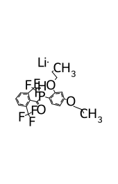 CCCOc1ccc(PC(=O)c2c(C(F)(F)F)cccc2C(F)(F)F)c(OCCC)c1.[Li]